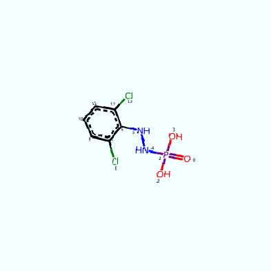 O=P(O)(O)NNc1c(Cl)cccc1Cl